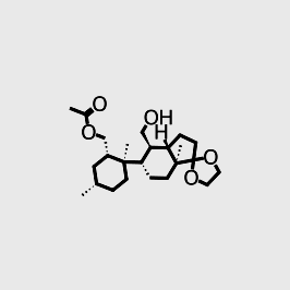 CC(=O)OC[C@H]1C[C@@H](C)CC[C@]1(C)[C@H]1CC[C@@]2(C)[C@@H](CCC23OCCO3)[C@@H]1CO